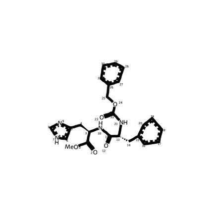 COC(=O)[C@@H](Cc1c[nH]cn1)NC(=O)[C@@H](Cc1ccccc1)NC(=O)OCc1ccccc1